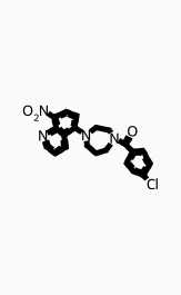 O=C(c1ccc(Cl)cc1)N1CCCN(c2ccc([N+](=O)[O-])c3ncccc23)CC1